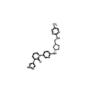 Cc1cnc(NCC2CC[C@H](Nc3ccc(-n4cccc(-c5cn[nH]c5)c4=O)cn3)C2)nn1